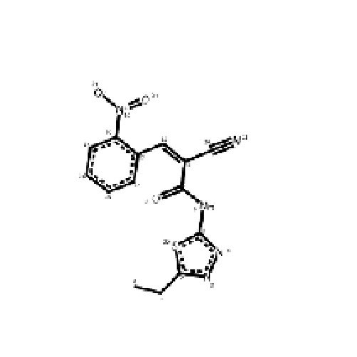 CCc1nnc(NC(=O)C(C#N)=Cc2ccccc2[N+](=O)[O-])s1